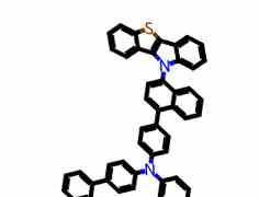 c1ccc(-c2ccc(N(c3ccccc3)c3ccc(-c4ccc(-n5c6ccccc6c6sc7ccccc7c65)c5ccccc45)cc3)cc2)cc1